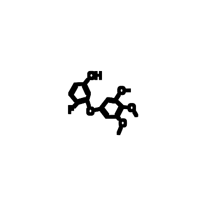 COc1cc(Oc2cc(O)ccc2F)cc(OC)c1OC